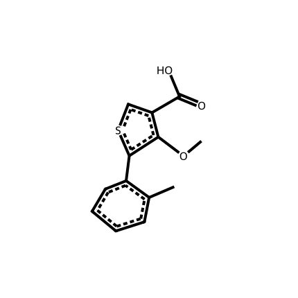 COc1c(C(=O)O)csc1-c1ccccc1C